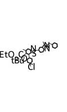 CCOC(=O)[C@@H](OC(C)(C)C)c1c(C)cc2nc(-c3ccc4nn(Cc5ccccc5)c(C)c4c3)sc2c1-c1ccc(Cl)cc1